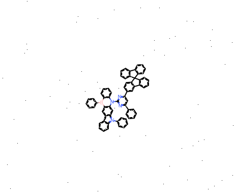 c1ccc(B2c3ccccc3N(c3nc(-c4ccccc4)cc(-c4ccc5c(c4)-c4ccccc4C54c5ccccc5-c5ccccc54)n3)c3cc4c(cc32)c2ccccc2n4-c2ccccc2)cc1